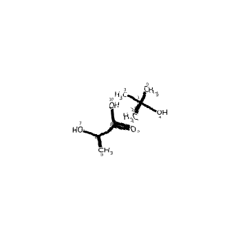 CC(C)(C)O.CC(O)C(=O)O